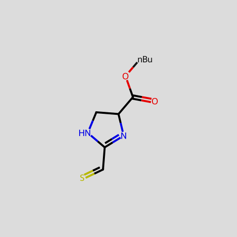 CCCCOC(=O)C1CNC(C=S)=N1